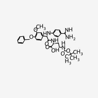 COc1cc([C@H](Nc2ccc(C(=N)N)cc2)C(=O)N[C@@H](CCNC(=O)OC(C)(C)C)C(=O)O)ccc1OCc1ccccc1